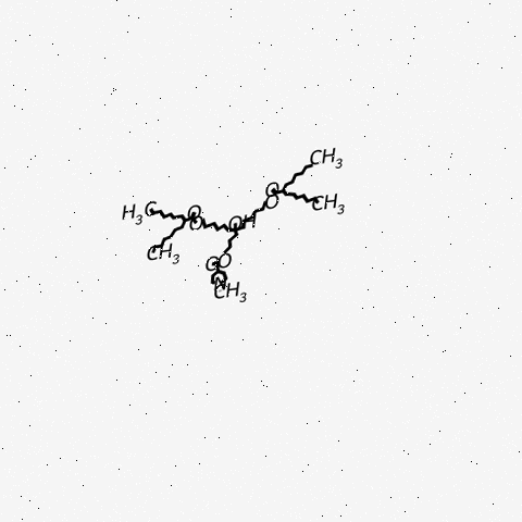 CCCCCCCC(CCCCCCC)C(=O)OCCCCCCC(O)(CCCCCCOC(=O)C(CCCCCCC)CCCCCCC)CCCCOC(=O)C1CCN(C)CC1